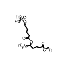 NC(CCCC(=O)OC=O)OC(=O)CCCCOP(=O)(O)O